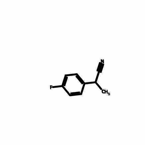 CC(C#N)c1ccc(F)cc1